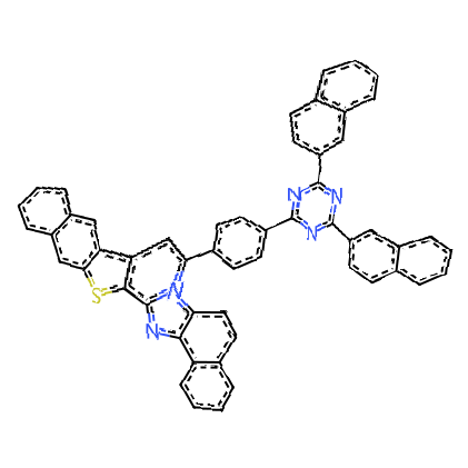 c1ccc2cc(-c3nc(-c4ccc(-c5cc6c7cc8ccccc8cc7sc6c6nc7c8ccccc8ccc7n56)cc4)nc(-c4ccc5ccccc5c4)n3)ccc2c1